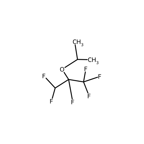 CC(C)OC(F)(C(F)F)C(F)(F)F